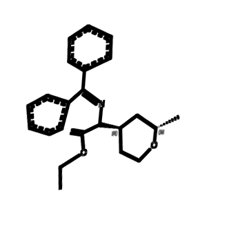 C=C(OCC)C(N=C(c1ccccc1)c1ccccc1)[C@@H]1CCO[C@@H](C)C1